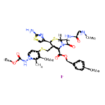 CO/N=C\C(=O)N[C@@H]1C(=O)N2C(C(=O)OCc3ccc(OC)cc3)=C(CSc3cc[n+](NC(=O)OC(C)(C)C)c(C)c3OC)C(c3csc(N)n3)S[C@H]12.[I-]